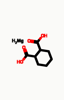 O=C(O)C1CCCCC1C(=O)O.[MgH2]